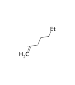 C=[C]CCCCC